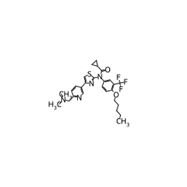 CCCCCOc1ccc(N(C(=O)C2CC2)c2nc(-c3ccc(CN(C)C)nc3)cs2)cc1C(F)(F)F